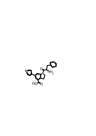 NC(Cc1ccccc1)C(=O)N1CCc2c(C(=O)O)cc(-c3ccncc3)cc21